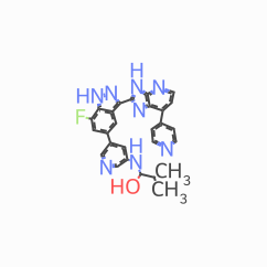 CC(C)C(O)Nc1cncc(-c2cc(F)c3[nH]nc(-c4nc5c(-c6ccncc6)ccnc5[nH]4)c3c2)c1